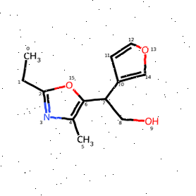 CCc1nc(C)c(C(CO)c2ccoc2)o1